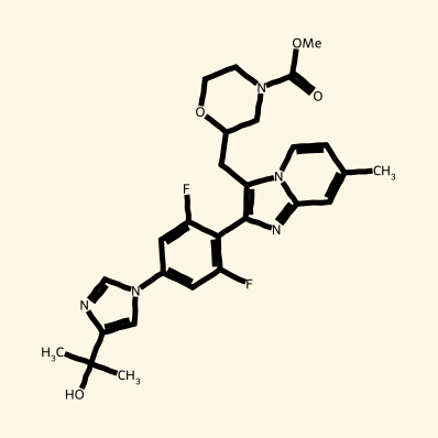 COC(=O)N1CCOC(Cc2c(-c3c(F)cc(-n4cnc(C(C)(C)O)c4)cc3F)nc3cc(C)ccn23)C1